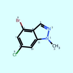 Cn1ncc2c(Br)cc(Cl)cc21